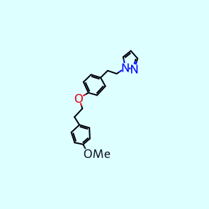 COc1ccc(CCOc2ccc(CCn3cccn3)cc2)cc1